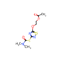 CC(=O)OCCOc1nc(SC(=O)N(C)C)ns1